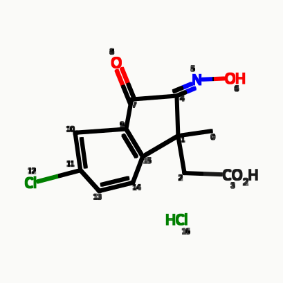 CC1(CC(=O)O)C(=NO)C(=O)c2cc(Cl)ccc21.Cl